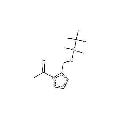 CC(=O)n1cccc1CO[Si](C)(C)C(C)(C)C